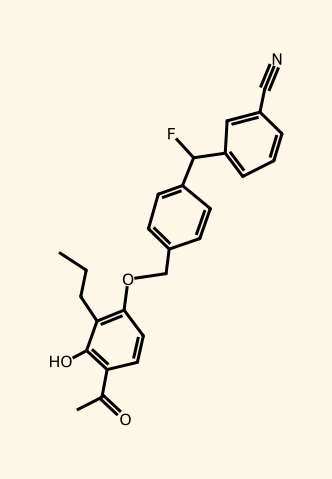 CCCc1c(OCc2ccc(C(F)c3cccc(C#N)c3)cc2)ccc(C(C)=O)c1O